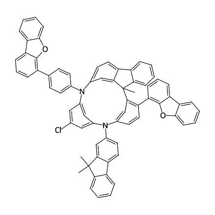 CC1(C)c2ccccc2-c2ccc(N3c4cc(Cl)cc(c4)N(c4ccc(-c5cccc6c5oc5ccccc56)cc4)c4ccc5c(c4)C(C)(c4ccccc4-5)c4cc3ccc4-c3cccc4c3oc3ccccc34)cc21